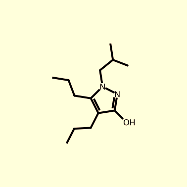 CCCc1c(O)nn(CC(C)C)c1CCC